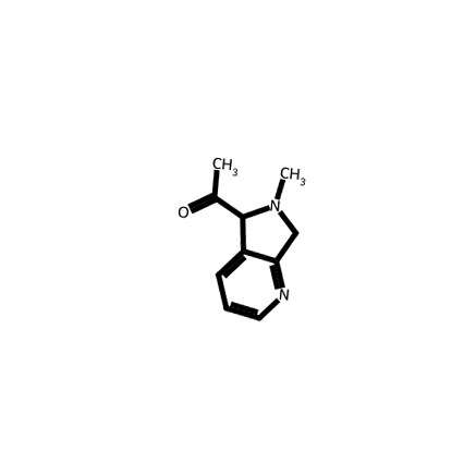 CC(=O)C1c2cccnc2CN1C